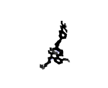 CO/N=C(\c1cccc(C)c1CO/N=C(\C)C#Cc1ccc(OC(F)(F)F)cc1)N(C)F